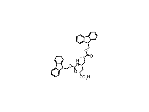 O=C(O)CC[C@H](CNC(=O)OCC1c2ccccc2-c2ccccc21)NC(=O)OCC1c2ccccc2-c2ccccc21